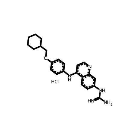 Cl.N=C(N)Nc1ccc2c(Nc3ccc(OCC4CCCCC4)cc3)ccnc2c1